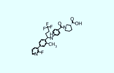 Cc1cc(-c2cccnc2F)ccc1C(CCC(F)(F)F)Nc1ccc(C(=O)N2CCC[C@@H](C(=O)O)C2)cc1